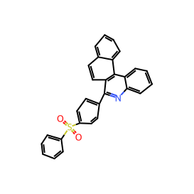 O=S(=O)(c1ccccc1)c1ccc(-c2nc3ccccc3c3c2ccc2ccccc23)cc1